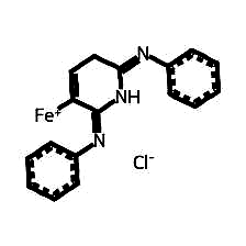 [Cl-].[Fe+][C]1=CCC(=Nc2ccccc2)NC1=Nc1ccccc1